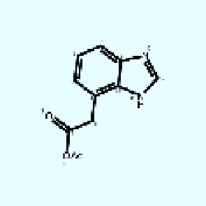 CC(=O)OC(=O)Cc1cccc2nc[nH]c12